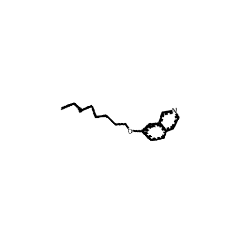 CCCCCCCCOc1ccc2ccncc2c1